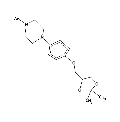 CC(=O)N1CCN(c2ccc(OCC3COC(C)(C)O3)cc2)CC1